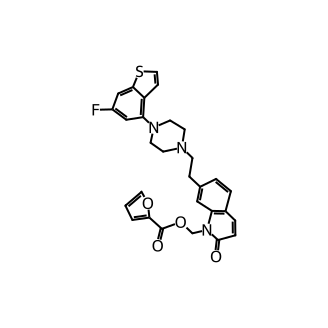 O=C(OCn1c(=O)ccc2ccc(CCN3CCN(c4cc(F)cc5sccc45)CC3)cc21)c1ccco1